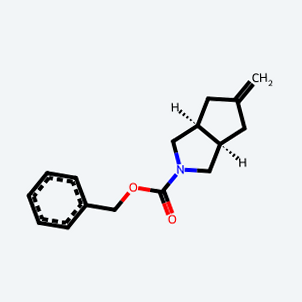 C=C1C[C@@H]2CN(C(=O)OCc3ccccc3)C[C@@H]2C1